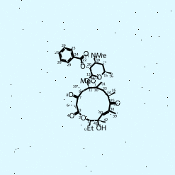 CC[C@H]1OC(=O)[C@H](C)C(=O)[C@H](C)[C@@H](OC2O[C@H](C)C[C@H](NC)[C@H]2OC(=O)c2ccccc2)[C@](C)(OC)C[C@@H](C)C(=O)/C(C)=C/[C@]1(C)O